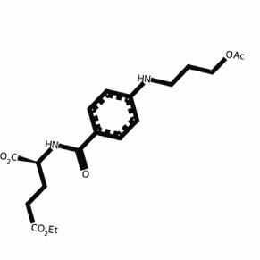 CCOC(=O)CC[C@H](NC(=O)c1ccc(NCCCOC(C)=O)cc1)C(=O)OCC